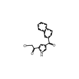 O=C(c1c[nH]c(C(=O)CCl)c1)c1ccc2ccccc2c1